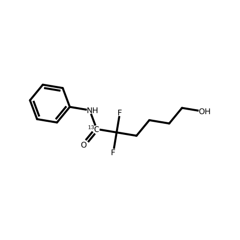 O=[13C](Nc1ccccc1)C(F)(F)CCCCO